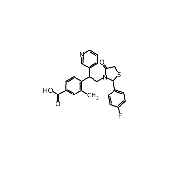 Cc1cc(C(=O)O)ccc1C(CN1C(=O)CSC1c1ccc(F)cc1)c1cccnc1